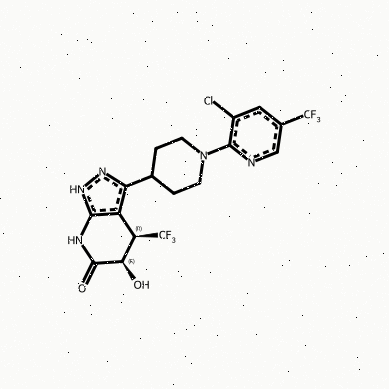 O=C1Nc2[nH]nc(C3CCN(c4ncc(C(F)(F)F)cc4Cl)CC3)c2[C@@H](C(F)(F)F)[C@H]1O